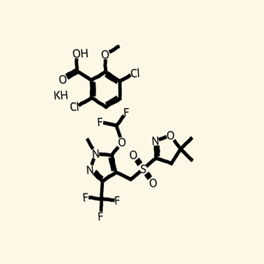 COc1c(Cl)ccc(Cl)c1C(=O)O.Cn1nc(C(F)(F)F)c(CS(=O)(=O)C2=NOC(C)(C)C2)c1OC(F)F.[KH]